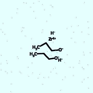 CCC[O-].CCC[O-].[H-].[H-].[Zr+4]